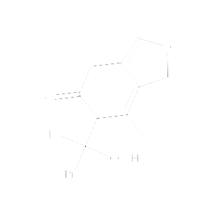 CCC(C(=O)O)(C(C)C)C1C(=O)CC2=COCC2=C1C